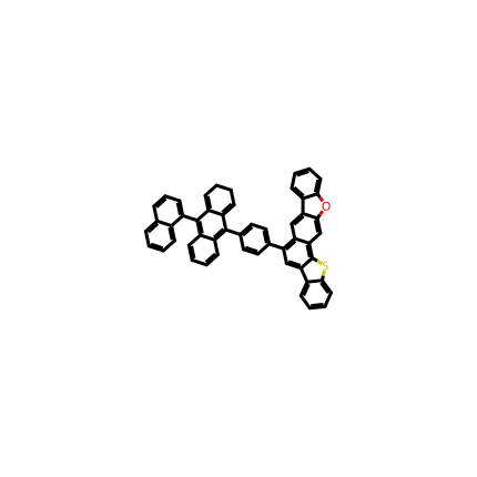 C1=c2c(-c3ccc(-c4cc5c6ccccc6sc5c5cc6oc7ccccc7c6cc45)cc3)c3ccccc3c(-c3cccc4ccccc34)c2=CCC1